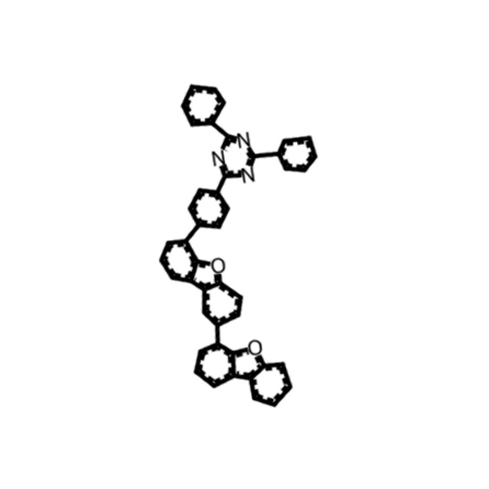 c1ccc(-c2nc(-c3ccccc3)nc(-c3ccc(-c4cccc5c4oc4ccc(-c6cccc7c6oc6ccccc67)cc45)cc3)n2)cc1